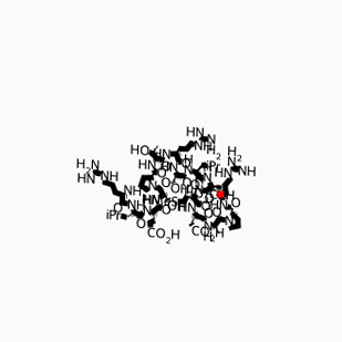 CSCC[C@H](NC(=O)[C@H](CO)NC(=O)[C@H](CC(C)C)NC(=O)[C@H](CO)NC(=O)[C@H](CCCNC(=N)N)NC(=O)[C@@H](NC(=O)[C@@H]1CCCN1C(=O)[C@H](CO)NC(=O)[C@H](CCC(=O)O)NC(=O)[C@H](CC(C)C)NC(=O)[C@@H](N)CCCNC(=N)N)[C@@H](C)O)C(=O)N[C@@H](CC(=O)O)C(=O)N[C@@H](C)C(=O)N1CCC[C@H]1C(=O)N[C@@H](CCCNC(=N)N)C(=O)O